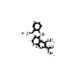 CCc1ccccc1Nc1ccnc2sc(C(N)=O)c(N)c12